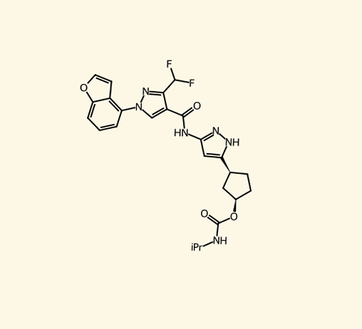 CC(C)NC(=O)O[C@@H]1CC[C@H](c2cc(NC(=O)c3cn(-c4cccc5occc45)nc3C(F)F)n[nH]2)C1